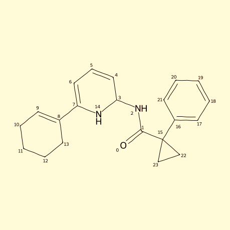 O=C(NC1C=CC=C(C2=CCCCC2)N1)C1(c2ccccc2)CC1